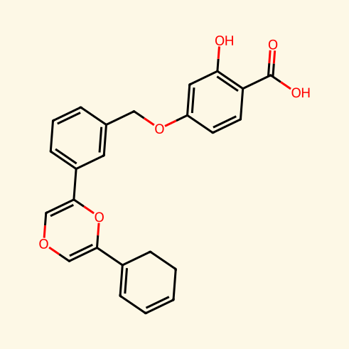 O=C(O)c1ccc(OCc2cccc(C3=COC=C(C4=CC=CCC4)O3)c2)cc1O